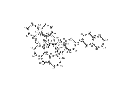 c1ccc(N(c2ccccc2)c2cccc3oc4cccc(N(c5ccc(-c6ccc7ccccc7c6)cc5)c5ccc6c(c5)oc5ccccc56)c4c23)cc1